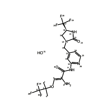 CC(C)(OC=C(N)C(=O)Nc1cc(CN2C[C@@H](C(F)(F)F)NC2=O)ccn1)C(F)(F)F.Cl